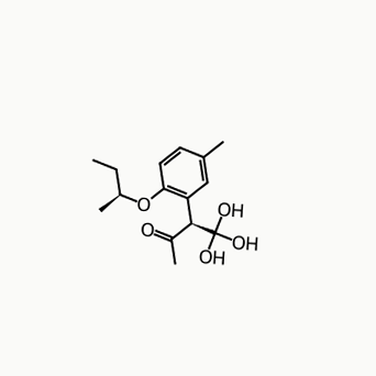 CC[C@H](C)Oc1ccc(C)cc1[C@H](C(C)=O)C(O)(O)O